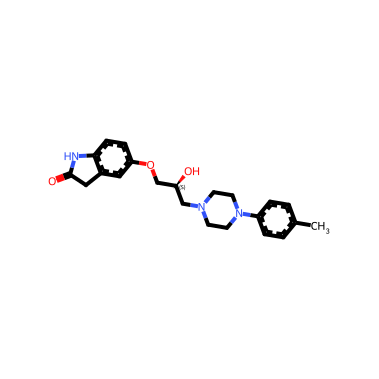 Cc1ccc(N2CCN(C[C@H](O)COc3ccc4c(c3)CC(=O)N4)CC2)cc1